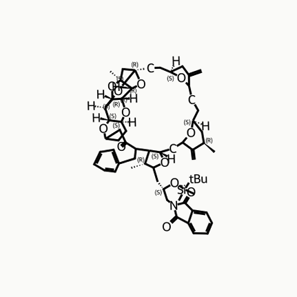 C=C1C[C@@H]2CC[C@@]34C[C@]5(C)O[C@H]6[C@@H](O3)[C@H]3OC(CC[C@@H]3O[C@H]6[C@H]5O4)CC(=O)C(Cc3ccccc3)C3[C@@H](C)C(C[C@@H](CN4C(=O)c5ccccc5C4=O)O[Si](C)(C)C(C)(C)C)O[C@H]3CC3O[C@@H](CCC1O2)C[C@@H](C)C3=C